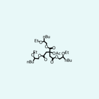 CCCCC(COC(=O)CC(CC(=O)OCC(CCCC)OCC)(OC(C)=O)C(=O)OCC(CCCC)OCC)OCC